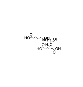 CC(CO)(CO)CO.O=C(O)CCCCC(=O)O.O=C(O)CCCCC(=O)O